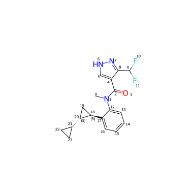 CN(C(=O)c1c[nH]nc1C(F)F)c1ccccc1[C@@H]1C[C@H]1C1CC1